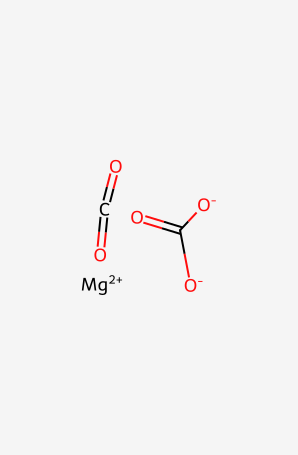 O=C([O-])[O-].O=C=O.[Mg+2]